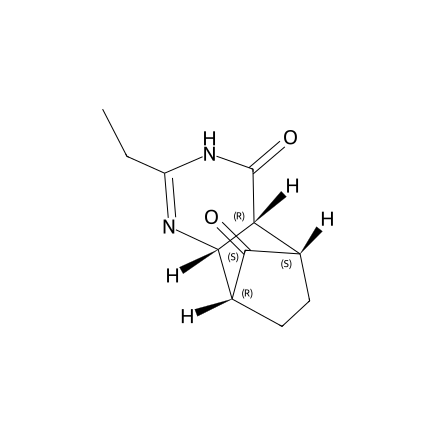 CCC1=N[C@@H]2[C@H](C(=O)N1)[C@@H]1CC[C@H]2C1=O